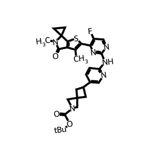 Cc1c(-c2nc(Nc3ccc(C4CC5(C4)CN(C(=O)OC(C)(C)C)C5)cn3)ncc2F)sc2c1C(=O)N(C)C21CC1